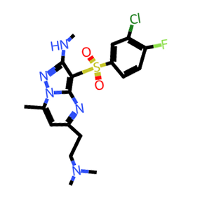 CNc1nn2c(C)cc(CCN(C)C)nc2c1S(=O)(=O)c1ccc(F)c(Cl)c1